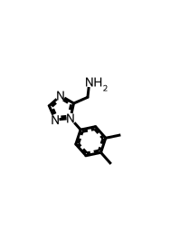 Cc1ccc(-n2ncnc2CN)cc1C